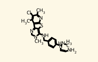 CNN(/C=C\N)c1ccc(CNC2=c3sc4nc(C)c(Cl)c(C)c4c3=NCN2C)cc1